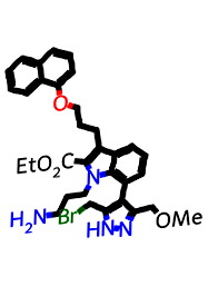 CCOC(=O)c1c(CCCOc2cccc3ccccc23)c2cccc(-c3c(COC)n[nH]c3CBr)c2n1CCCN